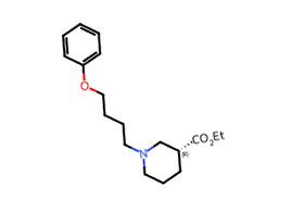 CCOC(=O)[C@@H]1CCCN(CCCCOc2ccccc2)C1